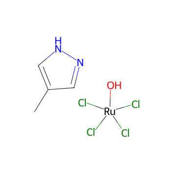 Cc1cn[nH]c1.[OH][Ru]([Cl])([Cl])([Cl])[Cl]